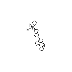 CCc1nc2ccccc2n1-c1ccc2cc(-c3ccc4c5c(cccc35)-c3ccccc3O4)ccc2c1